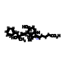 CCC1/C(=C/CCCC(=O)O)[C@@H]2CC[C@H](O)[C@@H](C#CC(C)(O)Cc3ccccc3)[C@H]12